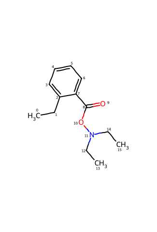 CCc1ccccc1C(=O)ON(CC)CC